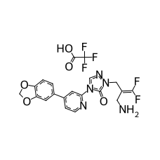 NCC(Cn1ncn(-c2cc(-c3ccc4c(c3)OCO4)ccn2)c1=O)=C(F)F.O=C(O)C(F)(F)F